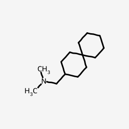 CN(C)CC1CCC2(CCCCC2)CC1